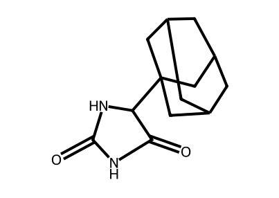 O=C1NC(=O)C(C23CC4CC(CC(C4)C2)C3)N1